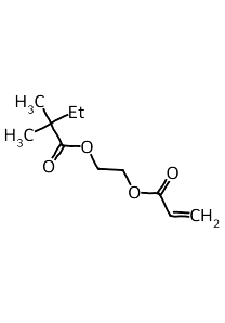 C=CC(=O)OCCOC(=O)C(C)(C)CC